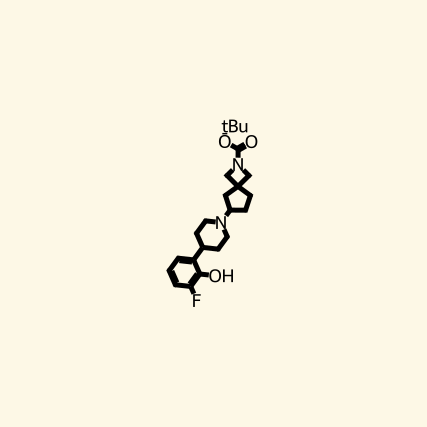 CC(C)(C)OC(=O)N1CC2(CCC(N3CCC(c4cccc(F)c4O)CC3)C2)C1